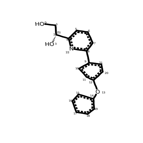 OC[C@@H](O)c1cccc(-c2ccc(Oc3ccccc3)cc2)n1